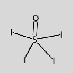 O=S(I)(I)(I)I